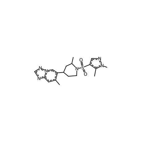 Cc1cc2ncnn2cc1C1CCN(S(=O)(=O)c2cnn(C)c2C)C(C)C1